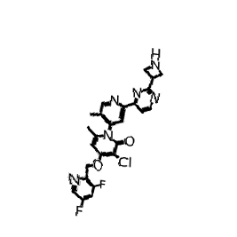 Cc1cnc(-c2ccnc(C3CNC3)n2)cc1-n1c(C)cc(OCc2ncc(F)cc2F)c(Cl)c1=O